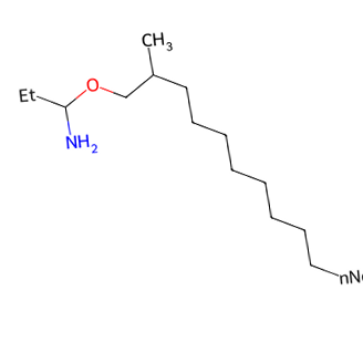 CCCCCCCCCCCCCCCCCC(C)COC(N)CC